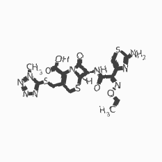 CCO/N=C(\C(=O)N[C@@H]1C(=O)N2C(C(=O)O)=C(CSc3nnnn3C)CS[C@H]12)c1csc(N)n1